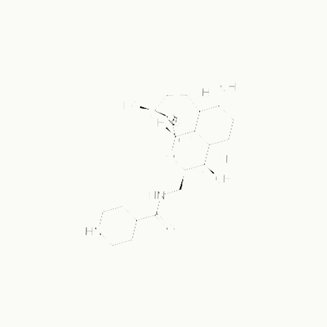 C[C@H]1[C@@H](CNC(=O)C2CCNCC2)O[C@@H]2O[C@@]3(C)CC[C@H]4[C@H](C)CC[C@@H]1[C@@]24OO3